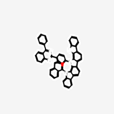 c1ccc(-c2nc(-c3ccc(-n4c5c(ccc6c7ccccc7oc65)c5ccc6c7ccccc7n(-c7cccc8ccccc78)c6c54)cc3)nc3ccccc23)cc1